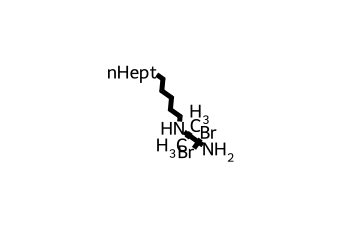 CCCCCCCCCCCCNC(C)(C)C(N)(Br)Br